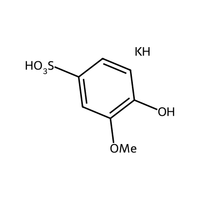 COc1cc(S(=O)(=O)O)ccc1O.[KH]